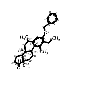 CCc1c(OCc2ccccc2)cc2c(c1C)[C@H]1CC[C@]3(C)C(=O)CC[C@H]3[C@@H]1CC2C